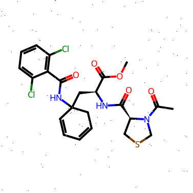 COC(=O)[C@H](CC1(NC(=O)c2c(Cl)cccc2Cl)C=CC=CC1)NC(=O)[C@@H]1CSCN1C(C)=O